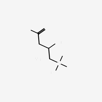 C[N+](C)(C)CC(O)CC(=O)[O-].[Mg]